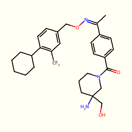 CC(=NOCc1ccc(C2CCCCC2)c(C(F)(F)F)c1)c1ccc(C(=O)N2CCCC(N)(CO)C2)cc1